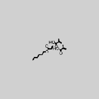 C=C(C)C(=O)O.C=C(C)C(=O)O.C=CC(=O)OCCCCCC